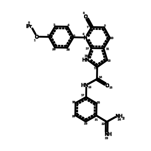 CC(C)Oc1ccc(-n2c(=O)ccc3cc(C(=O)Nc4cccc(C(=N)N)c4)[nH]c32)cc1